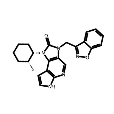 C[C@@H]1CCCC[C@@H]1n1c(=O)n(Cc2noc3ccccc23)c2cnc3[nH]ccc3c21